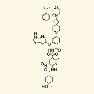 Cc1nc(NC[C@H]2CC[C@](C)(O)CC2)c([N+](=O)[O-])cc1S(=O)(=O)NC(=O)c1ccc(N2CCC3(CC2)CC(N2CCOC[C@H]2c2ccccc2C(C)C)C3)cc1Oc1cnc2[nH]ccc2c1